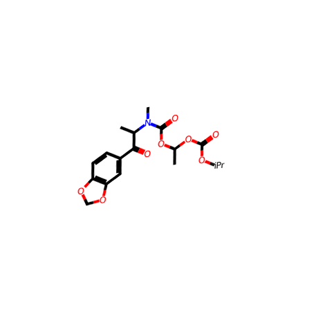 CC(C)OC(=O)OC(C)OC(=O)N(C)C(C)C(=O)c1ccc2c(c1)OCO2